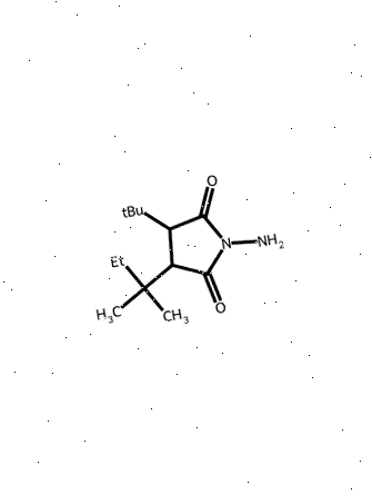 CCC(C)(C)C1C(=O)N(N)C(=O)C1C(C)(C)C